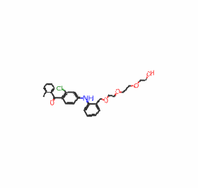 Cc1ccccc1C(=O)c1ccc(Nc2ccccc2COCCOCCOCCO)cc1Cl